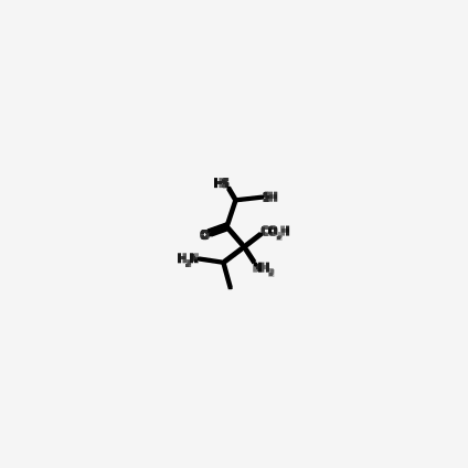 CC(N)C(N)(C(=O)O)C(=O)C(S)S